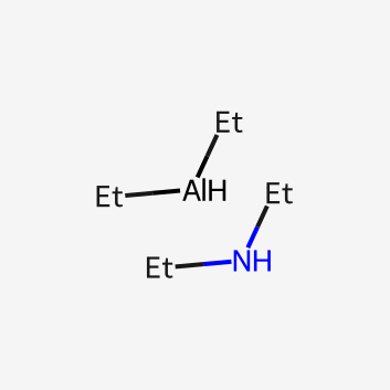 CCNCC.C[CH2][AlH][CH2]C